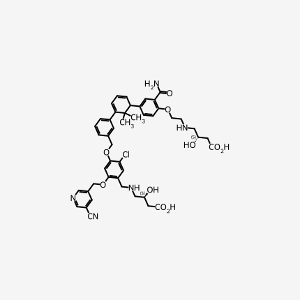 CC1(C)C(c2cccc(COc3cc(OCc4cncc(C#N)c4)c(CNC[C@@H](O)CC(=O)O)cc3Cl)c2)=CC=CC1c1ccc(OCCNC[C@@H](O)CC(=O)O)c(C(N)=O)c1